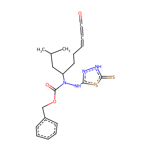 CC(C)CC(CCC=C=C=O)N(Nc1n[nH]c(=S)s1)C(=O)OCc1ccccc1